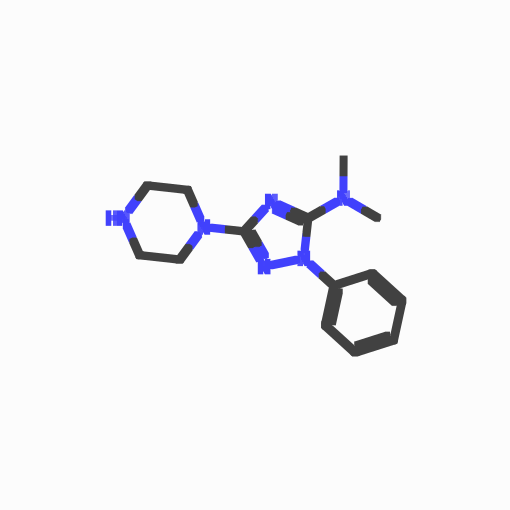 CN(C)c1nc(N2CCNCC2)nn1-c1ccccc1